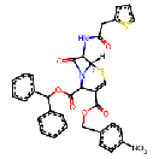 O=C(Cc1cccs1)NC1C(=O)N2C(C(=O)OC(c3ccccc3)c3ccccc3)C(C(=O)OCc3ccc([N+](=O)[O-])cc3)=CS[C@@H]12